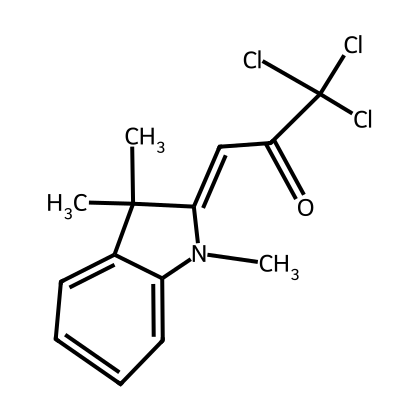 CN1/C(=C\C(=O)C(Cl)(Cl)Cl)C(C)(C)c2ccccc21